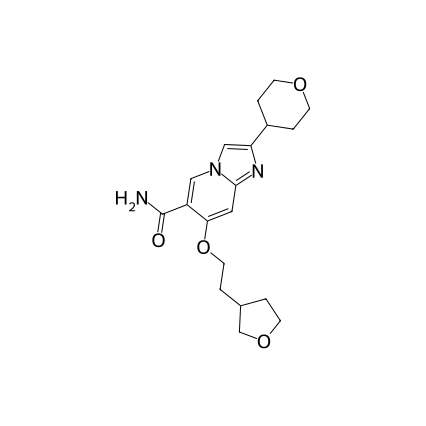 NC(=O)c1cn2cc(C3CCOCC3)nc2cc1OCCC1CCOC1